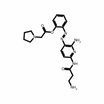 NCCC(=O)Nc1ccc(/N=N/c2ccccc2OC(=O)CN2CCCC2)c(N)n1